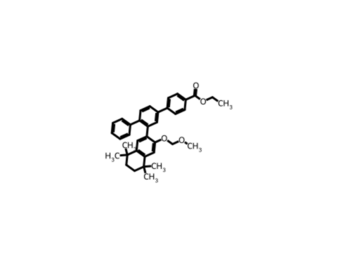 CCOC(=O)c1ccc(-c2ccc(-c3ccccc3)c(-c3cc4c(cc3OCOC)C(C)(C)CCC4(C)C)c2)cc1